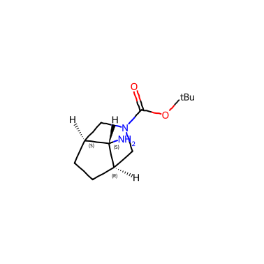 CC(C)(C)OC(=O)N1C[C@H]2CC[C@@H](C1)[C@@H]2N